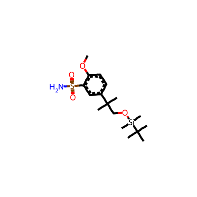 COc1ccc(C(C)(C)CO[Si](C)(C)C(C)(C)C)cc1S(N)(=O)=O